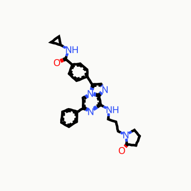 O=C(NC1CC1)c1ccc(-c2cnc3c(NCCCN4CCCC4=O)nc(-c4ccccc4)cn23)cc1